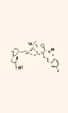 COc1ccc2nccc(CC[C@@H]3CC[C@@H](N(CC=Cc4cc(F)ccc4F)C(=O)OC(C)(C)C)[C@@H](CC(=O)O)O3)c2n1